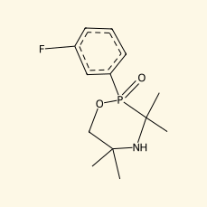 CC1(C)COP(=O)(c2cccc(F)c2)C(C)(C)N1